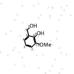 COc1cccc(CO)c1O